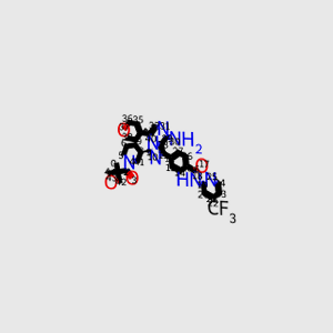 CC1(C(=O)N2CCC[C@@H](c3nc(-c4ccc(C(=O)Nc5cc(C(F)(F)F)ccn5)cc4)c4c(N)ncc(C5=CCOCC5)n34)C2)COC1